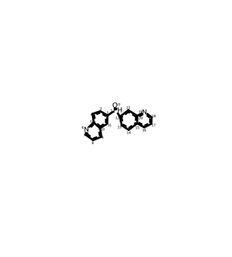 O=[PH](c1ccc2ncccc2c1)c1ccc2cccnc2c1